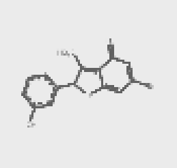 Cc1cccc(C2OC3=CC(Br)=CC(=O)C3=C2C(=O)O)c1